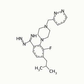 CC(C)Cc1ccc(C(=N)N=N)c(N2CCN(Cc3cccnn3)CC2)c1F